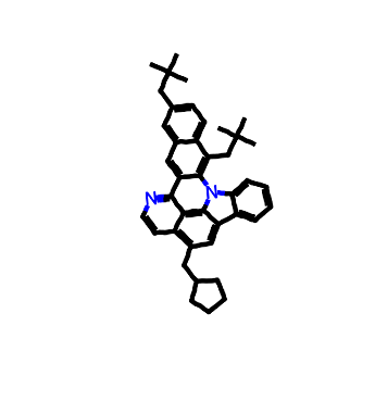 CC(C)(C)Cc1ccc2c(CC(C)(C)C)c3c(cc2c1)c1nccc2c(CC4CCCC4)cc4c5ccccc5n3c4c21